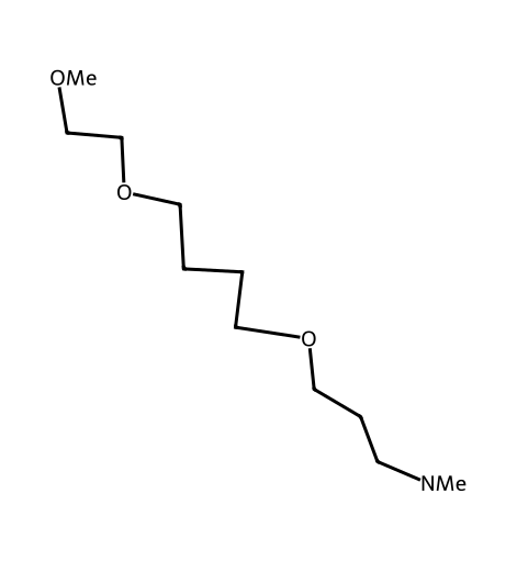 CNCCCOCCCCOCCOC